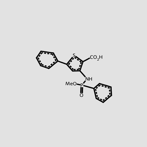 COP(=O)(Nc1cc(-c2ccccc2)sc1C(=O)O)c1ccccc1